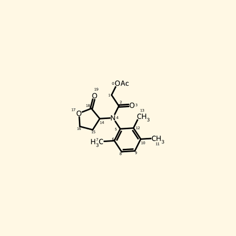 CC(=O)OCC(=O)N(c1c(C)ccc(C)c1C)C1CCOC1=O